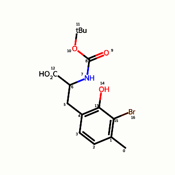 Cc1ccc(CC(NC(=O)OC(C)(C)C)C(=O)O)c(O)c1Br